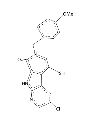 COc1ccc(Cn2cc(S)c3c([nH]c4ncc(Cl)cc43)c2=O)cc1